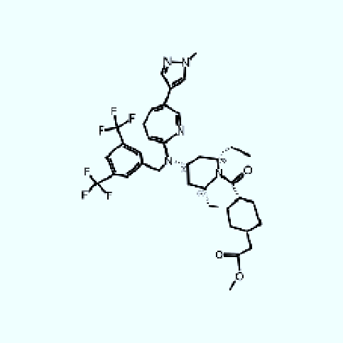 CC[C@@H]1C[C@H](N(Cc2cc(C(F)(F)F)cc(C(F)(F)F)c2)C2=CCC=C(c3cnn(C)c3)C=N2)C[C@H](CC)N1C(=O)[C@H]1CC[C@H](CC(=O)OC)CC1